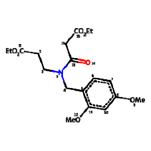 CCOC(=O)CCN(Cc1ccc(OC)cc1OC)C(=O)CC(=O)OCC